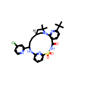 CC(C)(C)c1ccc2c(n1)N1C[C@@H](CCC(c3cc(Cl)ccn3)Nc3cccc(n3)S(=O)(=O)NC2=O)CC1(C)C